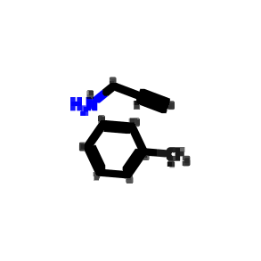 C#CCN.FC(F)(F)c1ccccc1